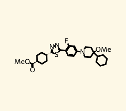 COC(=O)[C@H]1CC[C@H](c2nnc(-c3ccc(N4CCC(OC)(C5CCCCC5)CC4)cc3F)s2)CC1